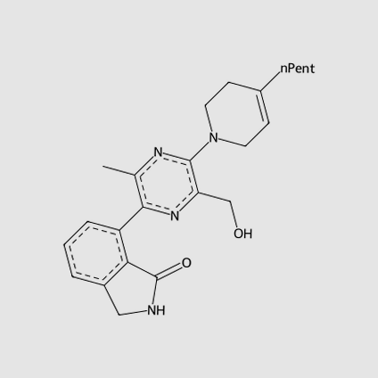 CCCCCC1=CCN(c2nc(C)c(-c3cccc4c3C(=O)NC4)nc2CO)CC1